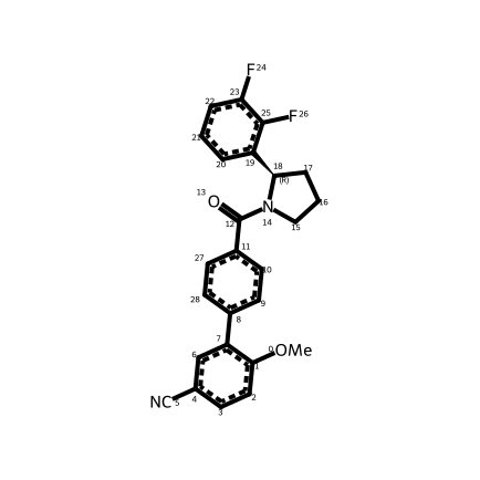 COc1ccc(C#N)cc1-c1ccc(C(=O)N2CCC[C@@H]2c2cccc(F)c2F)cc1